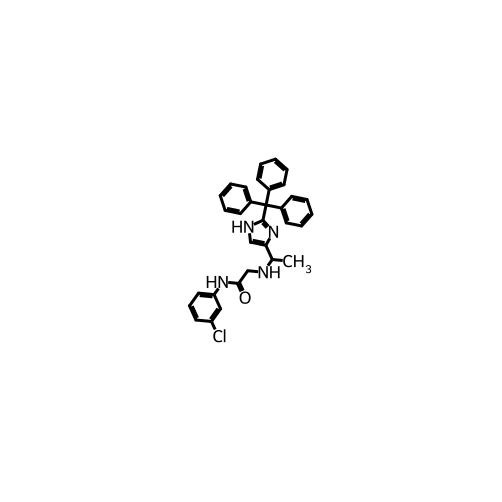 CC(NCC(=O)Nc1cccc(Cl)c1)c1c[nH]c(C(c2ccccc2)(c2ccccc2)c2ccccc2)n1